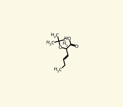 CC/C=C/C(OC(C)(C)C)C(=O)O